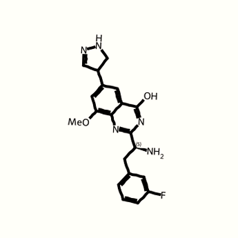 COc1cc(C2C=NNC2)cc2c(O)nc([C@@H](N)Cc3cccc(F)c3)nc12